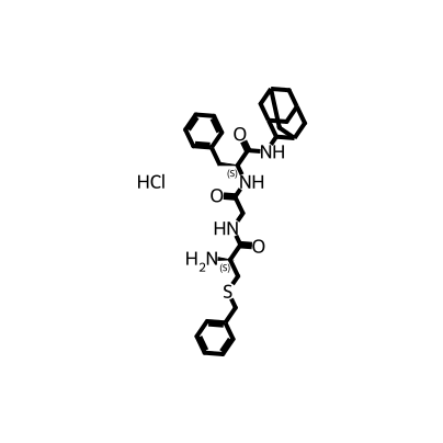 Cl.N[C@H](CSCc1ccccc1)C(=O)NCC(=O)N[C@@H](Cc1ccccc1)C(=O)NC1C2CC3CC(C2)CC1C3